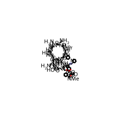 CNC(=O)c1ccccc1Sc1ccc2c(/C=C/c3ccccn3)nn(C(=O)N(CCOCc3oc(=O)oc3C)CCC(=O)N[C@H](C(=O)N[C@@H](CCN)C(=O)N[C@H]3CCNC(=O)[C@H]([C@@H](C)O)NC(=O)[C@H](CCN)NC(=O)[C@H](CCN)NC(=O)[C@H](CC(C)C)NC(=O)[C@@H](Cc4ccccc4)NC(=O)[C@H](CCN)NC3=O)[C@@H](C)O)c2c1